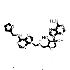 Nc1ncnc2c1ncn2C1(O)COC(CNCn2cnc3c(NCc4ccco4)ncnc32)C1O